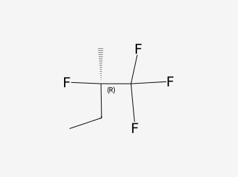 CC[C@@](C)(F)C(F)(F)F